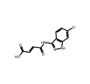 O=C(O)C=CC(=O)Nc1n[nH]c2cc(Cl)ccc12